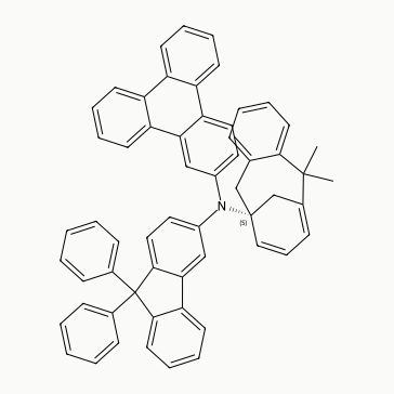 CC1(C)C2=CC=C[C@](N(c3ccc4c(c3)-c3ccccc3C4(c3ccccc3)c3ccccc3)c3ccc4c5ccccc5c5ccccc5c4c3)(C2)Cc2ccccc21